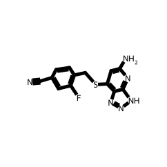 N#Cc1ccc(CSc2cc(N)nc3[nH]nnc23)c(F)c1